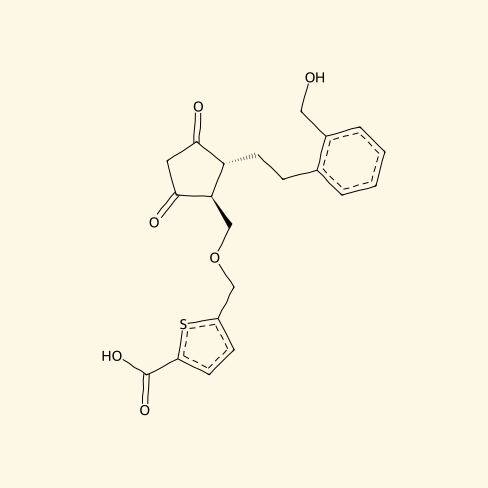 O=C(O)c1ccc(COC[C@H]2C(=O)CC(=O)[C@@H]2CCc2ccccc2CO)s1